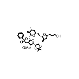 C=C1C[C@H](CCCO)O[C@H]1CC[C@H]1C[C@@H](C)C(=C)[C@@H](C[C@@H]2O[C@H](C3COC(C)(C)O3)[C@H](OC)[C@H]2CS(=O)(=O)c2ccccc2)O1